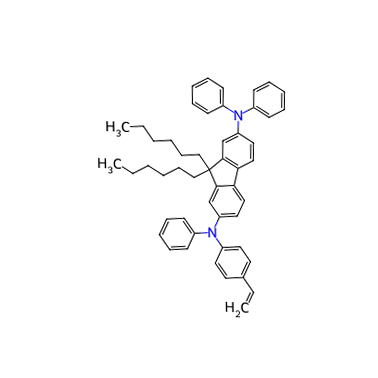 C=Cc1ccc(N(c2ccccc2)c2ccc3c(c2)C(CCCCCC)(CCCCCC)c2cc(N(c4ccccc4)c4ccccc4)ccc2-3)cc1